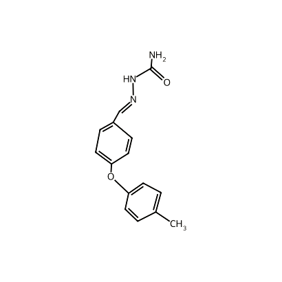 Cc1ccc(Oc2ccc(C=NNC(N)=O)cc2)cc1